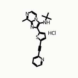 Cc1nccn2c(NC(C)(C)C)c(-c3ccc(C#Cc4ccccn4)s3)nc12.Cl